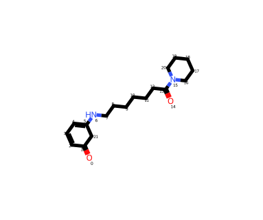 O=C1C=CC=C(NCCCCCCC(=O)N2CCCCC2)C1